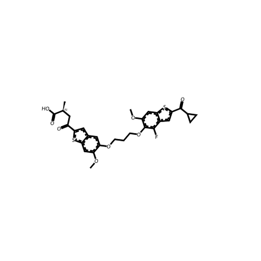 COc1cc2sc(C(=O)C[C@H](C)C(=O)O)cc2cc1OCCCOc1c(OC)cc2sc(C(=O)C3CC3)cc2c1F